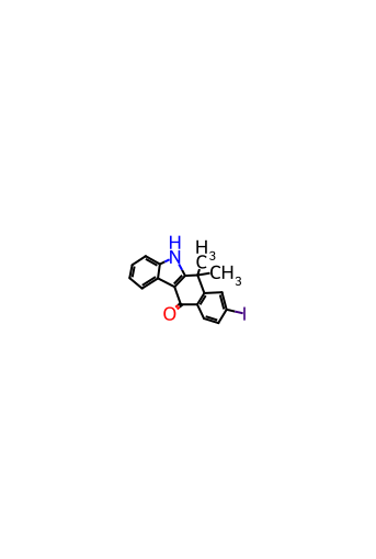 CC1(C)c2cc(I)ccc2C(=O)c2c1[nH]c1ccccc21